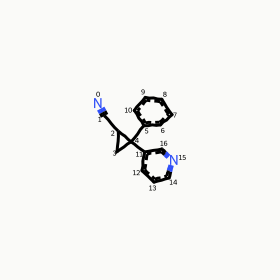 N#CC1CC1(c1ccccc1)c1cccnc1